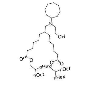 CCCCCCCCC(CCCCCC)COC(=O)CCCCCC(CCCCCC(=O)OCC(CCCCCC)CCCCCCCC)CN(CCO)C1CCCCCCC1